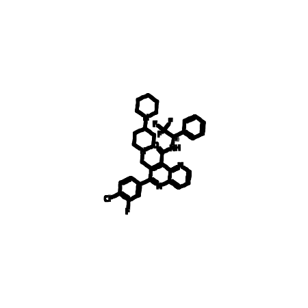 O=C(N[C@H](c1ccccc1)C(F)(F)F)c1c(CN2CCC(N3CCCCC3)CC2)c(-c2ccc(Cl)c(F)c2)nc2cccnc12